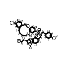 COc1ccc(CN(Cc2ccc(OC)cc2)S(=O)(=O)c2ccc3c(c2)N(C[C@@H]2CC[C@H]2CC=O)CCCCc2cc(Cl)ccc2CO3)cc1